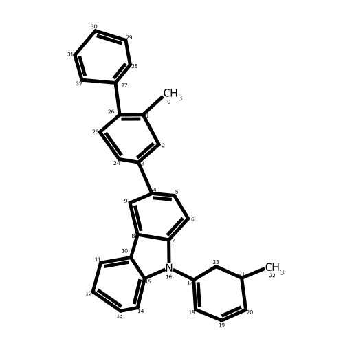 Cc1cc(-c2ccc3c(c2)c2ccccc2n3C2=CC=CC(C)C2)ccc1-c1ccccc1